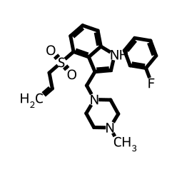 C=CCS(=O)(=O)c1cccc2[nH]cc(CN3CCN(C)CC3)c12.Fc1ccccc1